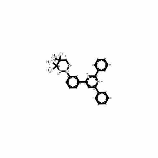 CC1(C)COB(c2cccc(-c3cc(-c4ccccc4)nc(-c4ccccc4)n3)c2)OC1(C)C